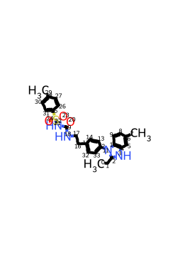 CCC1Nc2cc(C)ccc2N1c1ccc(CCNC(=O)NS(=O)(=O)c2ccc(C)cc2)cc1